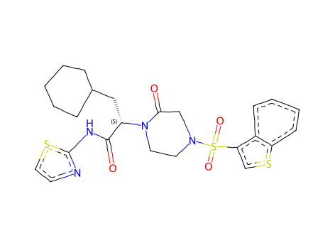 O=C(Nc1nccs1)[C@H](CC1CCCCC1)N1CCN(S(=O)(=O)c2csc3ccccc23)CC1=O